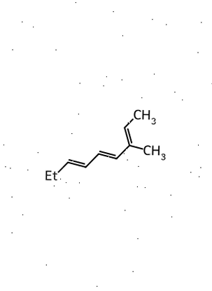 CC=C(C)C=CC=CCC